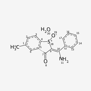 Cc1ccc2c(c1)C(=O)C(=C(N)c1ccccc1)[S+]2[O-].O